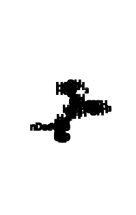 CCCCCCCCCCCCCC(=O)N[C@@H](CCC(=O)ON1C(=O)CCC1=O)C(=O)NCCCCNC(=O)CNC(=O)CN(CC(=O)NCCO[C@@H]1O[C@@H](C)[C@@H](O)[C@@H](O)[C@@H]1O)CC(=O)NCCO[C@@H]1O[C@@H](C)[C@@H](O)[C@@H](O)[C@@H]1O